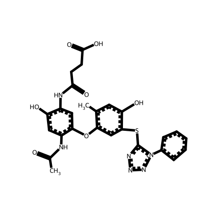 CC(=O)Nc1cc(O)c(NC(=O)CCC(=O)O)cc1Oc1cc(Sc2nnnn2-c2ccccc2)c(O)cc1C